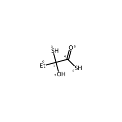 CCC(O)(S)C(=O)S